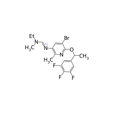 CCN(C)/C=N/c1cc(Br)c(OC(C)c2cc(F)c(F)c(F)c2)nc1C